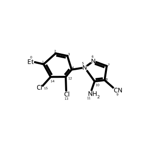 CCc1ccc(-n2ncc(C#N)c2N)c(Cl)c1Cl